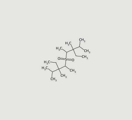 CCC(C)(C(C)C)C(C)S(=O)(=O)C(C)C(C)(CC)C(C)C